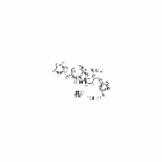 O=C([O-])Cc1csc(SC2=C(C(=O)[O-])N3C(=O)[C@@H](NC(=O)Cc4ccccc4)[C@@H]3SC2)n1.[Na+].[Na+]